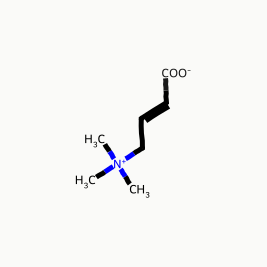 C[N+](C)(C)CC=CC(=O)[O-]